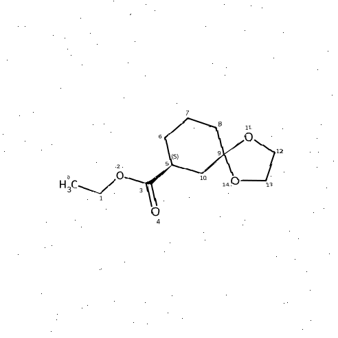 CCOC(=O)[C@H]1CCCC2(C1)OCCO2